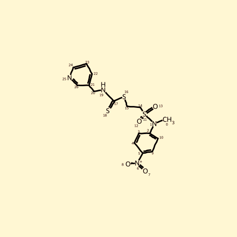 CN(c1ccc([N+](=O)[O-])cc1)S(=O)(=O)CCSC(=S)NCc1cccnc1